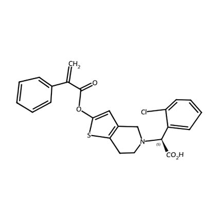 C=C(C(=O)Oc1cc2c(s1)CCN([C@H](C(=O)O)c1ccccc1Cl)C2)c1ccccc1